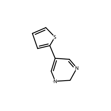 C1=NC[N]C=C1c1cccs1